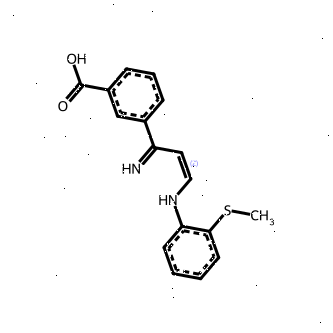 CSc1ccccc1N/C=C\C(=N)c1cccc(C(=O)O)c1